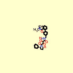 CN(C)C(=O)c1ccccc1-c1ccc(CNC(=O)[C@H](O)[C@@H](O)C(=O)N2CCC[C@@H]2c2ccccc2)cc1